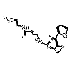 C=CCNC(=O)NCCNc1nc(-c2ccco2)c2sccc2n1